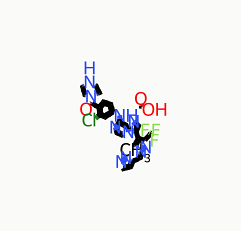 Cn1nccc1Cn1cc(-c2cnc3c(Nc4ccc(C(=O)N5CCNCC5)c(Cl)c4)nccn23)c(C(F)(F)F)n1.O=CO